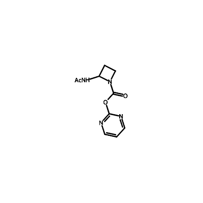 CC(=O)NC1CCN1C(=O)Oc1ncccn1